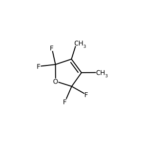 CC1=C(C)C(F)(F)OC1(F)F